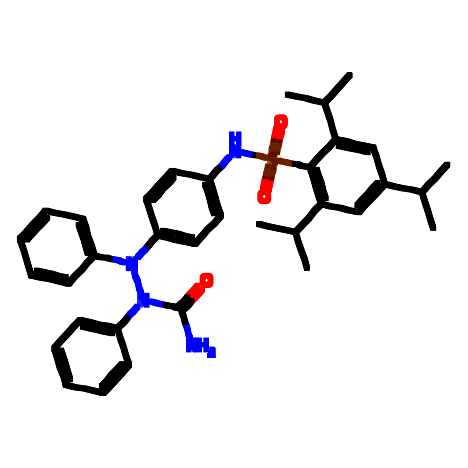 CC(C)c1cc(C(C)C)c(S(=O)(=O)Nc2ccc(N(c3ccccc3)N(C(N)=O)c3ccccc3)cc2)c(C(C)C)c1